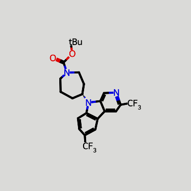 CC(C)(C)OC(=O)N1CCC[C@@H](n2c3ccc(C(F)(F)F)cc3c3cc(C(F)(F)F)ncc32)CC1